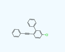 Clc1ccc(C#Cc2ccccc2)c(-c2ccccc2)c1